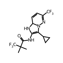 CC(C)(C(=O)NC1=C(C2CC2)N2N=C(C(F)(F)F)C=CC2N1)C(F)(F)F